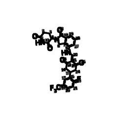 O=C1CCC(N2Cc3c(NC=C4C(=O)CC(c5cc(C(F)(F)F)ccc5F)CC4=O)cccc3C2=O)C(=O)N1